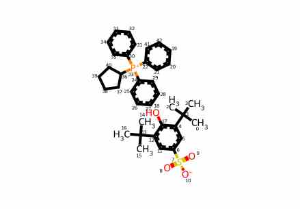 CC(C)(C)c1cc(S(=O)(=O)[O-])cc(C(C)(C)C)c1O.c1ccc([P+](c2ccccc2)(c2ccccc2)C2CCCC2)cc1